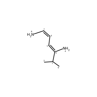 CC(C)/C(N)=C/C=C\N